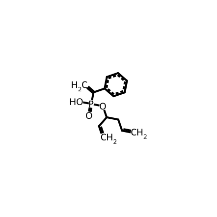 C=CCC(C=C)OP(=O)(O)C(=C)c1ccccc1